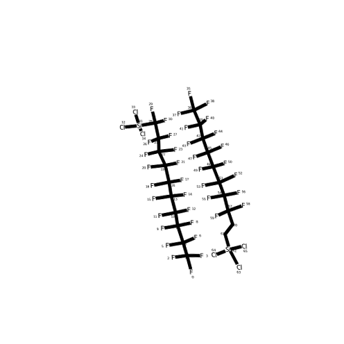 FC(F)(F)C(F)(F)C(F)(F)C(F)(F)C(F)(F)C(F)(F)C(F)(F)C(F)(F)C(F)(F)C(F)(F)[Si](Cl)(Cl)Cl.FC(F)(F)C(F)(F)C(F)(F)C(F)(F)C(F)(F)C(F)(F)C(F)(F)C(F)(F)CC[Si](Cl)(Cl)Cl